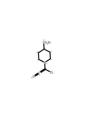 CCOC(=O)C1CCN(C(Cl)=C=O)CC1